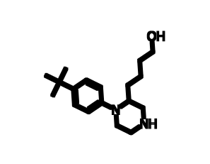 CC(C)(C)c1ccc(N2CCNCC2CCCCO)cc1